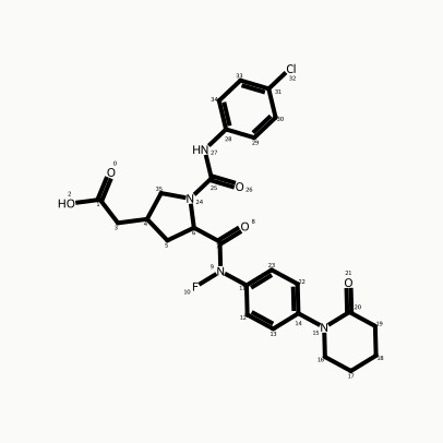 O=C(O)CC1CC(C(=O)N(F)c2ccc(N3CCCCC3=O)cc2)N(C(=O)Nc2ccc(Cl)cc2)C1